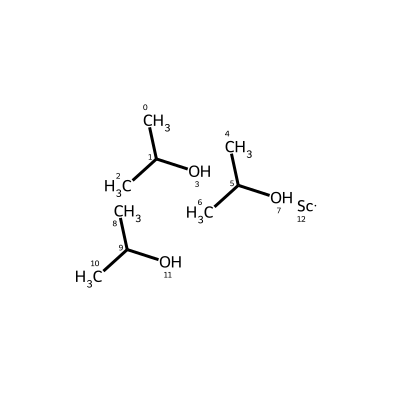 CC(C)O.CC(C)O.CC(C)O.[Sc]